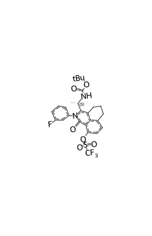 C[C@H](NC(=O)OC(C)(C)C)c1c2c3c(ccc(OS(=O)(=O)C(F)(F)F)c3c(=O)n1-c1cccc(F)c1)CCC2